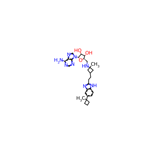 CC1(NC[C@H]2O[C@@H](n3cnc4c(N)ncnc43)[C@@H](O)[C@H]2O)CC(CCc2nc3cc(C4(C)CCC4)ccc3[nH]2)C1